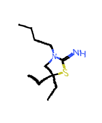 CCCCN1CC(CC)(CC)SC1=N